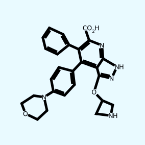 O=C(O)c1nc2[nH]nc(OC3CNC3)c2c(-c2ccc(N3CCOCC3)cc2)c1-c1ccccc1